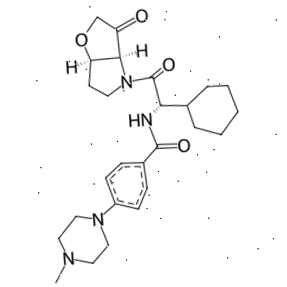 CN1CCN(c2ccc(C(=O)N[C@H](C(=O)N3CC[C@H]4OCC(=O)[C@H]43)C3CCCCC3)cc2)CC1